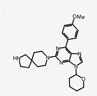 COc1ccc(-c2nc(N3CCC4(CCNC4)CC3)nc3c2ncn3C2CCCCO2)cc1